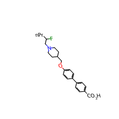 CCCC(F)CN1CCC(COc2ccc(-c3ccc(C(=O)O)cc3)cc2)CC1